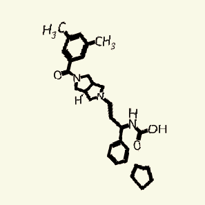 C1CCCC1.Cc1cc(C)cc(C(=O)N2CC3CN(CCC(NC(=O)O)c4ccccc4)C[C@H]3C2)c1